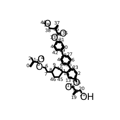 C=C(C)C(=O)OCCC1CCC(c2cc(OC(=O)C(=C)CO)ccc2-c2ccc(-c3ccc(OC(=O)C(=C)COC)cc3)cc2)CC1